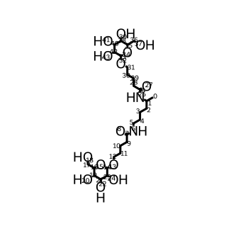 CC(CCCCNC(=O)CCCCOC1OC(CO)[C@H](O)C(O)C1O)NC(=O)CCCCOC1OC(CO)C(O)[C@@H](O)C1O